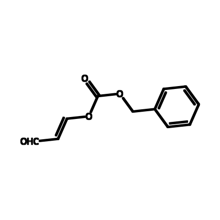 O=CC=COC(=O)OCc1ccccc1